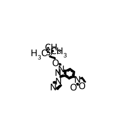 C[Si](C)(C)CCOCn1nc(-n2ccnc2)c2cc(N3CCOC3=O)ccc21